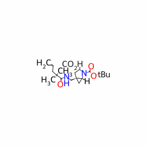 C=CCC(C)(C)C(=O)NC[C@@]12C[C@@H](C(=O)O)N(C(=O)OC(C)(C)C)[C@@H]1C2